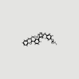 CCN(Cc1ccccc1)C(=O)c1cccc(-c2nnn(Cc3ccc(OC)cc3)n2)c1